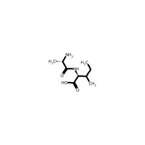 CCC(C)[C@H](NC(=O)[C@H](C)N)C(=O)O